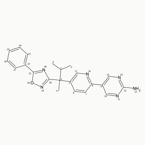 CC(C)C(C)(c1ccc(-c2cnc(N)nc2)nc1)c1noc(-c2ccccc2)n1